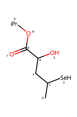 CC([SeH])CC(O)C(=O)OC(C)C